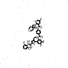 O=C(Nc1c(F)cccc1Cl)c1cc2c(s1)-c1cc(F)c(F)cc1N(C(=O)c1ccc(NC(=O)c3cc(F)cnc3N3CC4(CCOCC4)C3)cc1)CC2